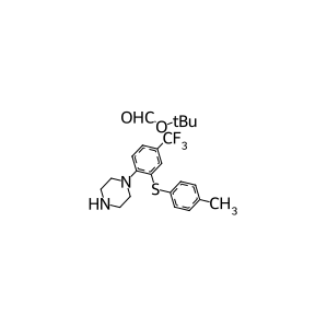 CC(C)(C)OC=O.Cc1ccc(Sc2cc(C(F)(F)F)ccc2N2CCNCC2)cc1